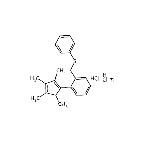 CC1=C(C)C(C)C(c2ccccc2CSc2ccccc2)=C1C.Cl.Cl.[Ti]